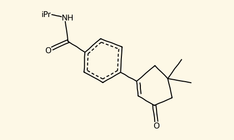 CC(C)NC(=O)c1ccc(C2=CC(=O)CC(C)(C)C2)cc1